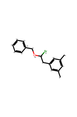 Cc1cc(C)cc(CC(Br)OCc2ccccc2)c1